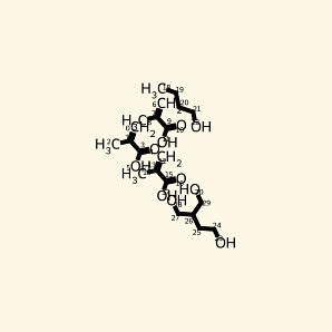 C=C(C)C(=O)O.C=C(C)C(=O)O.C=C(C)C(=O)O.CCCCO.OCCC(CO)CO